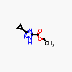 CCOC(=O)c1nc(C2CC2)n[nH]1